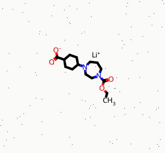 CCOC(=O)N1CCCN(C2CCC(C(=O)[O-])CC2)CC1.[Li+]